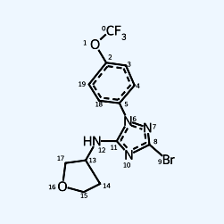 FC(F)(F)Oc1ccc(-n2nc(Br)nc2NC2CCOC2)cc1